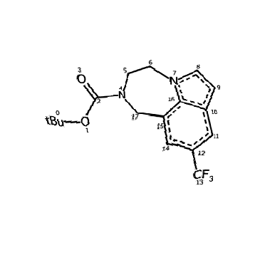 CC(C)(C)OC(=O)N1CCn2ccc3cc(C(F)(F)F)cc(c32)C1